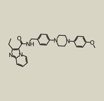 CCc1nc2ccccn2c1C(=O)NCc1ccc(N2CCN(c3ccc(OC)cc3)CC2)cc1